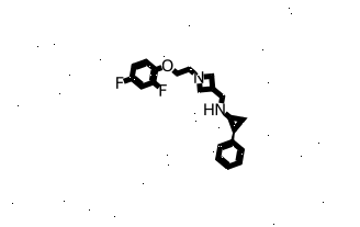 Fc1ccc(OCCN2CC(CNC3C[C@H]3c3ccccc3)C2)c(F)c1